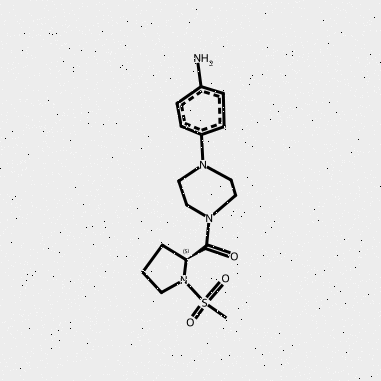 CS(=O)(=O)N1CCC[C@H]1C(=O)N1CCN(c2ccc(N)cc2)CC1